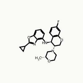 C[C@@H]1CN([C@H]2COc3cc(F)ccc3[C@@H]2Nc2cccc3oc(C4CC4)nc23)CCO1